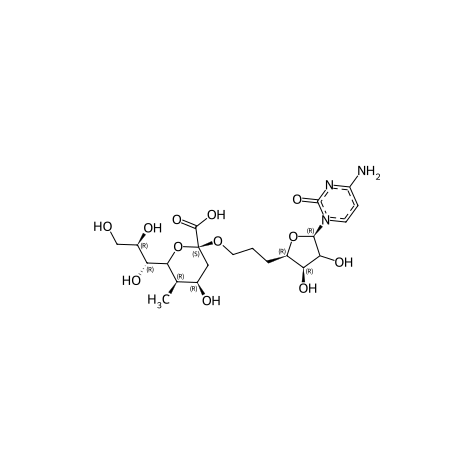 C[C@H]1C([C@H](O)[C@H](O)CO)O[C@](OCCC[C@H]2O[C@@H](n3ccc(N)nc3=O)C(O)[C@H]2O)(C(=O)O)C[C@H]1O